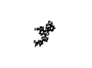 O=C(c1nnc(-c2ccn(C(F)F)n2)o1)N1CCc2[nH]cnc2[C@H]1c1cc2cccc(C(F)(F)F)n2n1